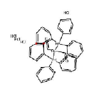 Cl.Cl.Cl.Cl.O=[CH][Ru]([CH]=O)([PH](c1ccccc1)(c1ccccc1)c1ccccc1)[PH](c1ccccc1)(c1ccccc1)c1ccccc1